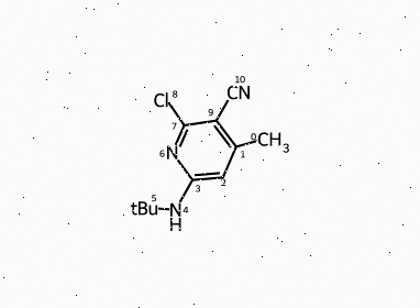 Cc1cc(NC(C)(C)C)nc(Cl)c1C#N